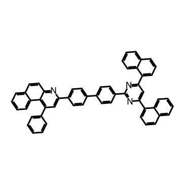 c1ccc(-c2cc(-c3ccc(-c4ccc(-c5nc(-c6cccc7ccccc67)cc(-c6cccc7ccccc67)n5)cc4)cc3)nc3ccc4ccccc4c23)cc1